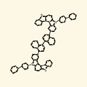 c1ccc(-c2ccc(-n3c4ccc(-c5ccc(-c6ccc(-c7ccc8c(c7)c7c9c(ccc7n8-c7ccc(-c8ccccc8)cc7)sc7ccccc79)c7ccccc67)c6ccccc56)cc4c4c5c(ccc43)sc3ccccc35)cc2)cc1